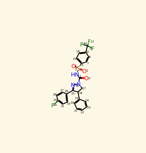 O=C(NS(=O)(=O)c1ccc(C(F)(F)F)cc1)N1CC(c2ccccc2)C(c2ccc(F)cc2)=N1